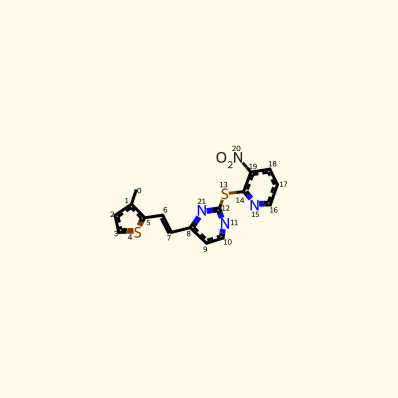 Cc1ccsc1C=Cc1ccnc(Sc2ncccc2[N+](=O)[O-])n1